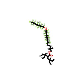 CCC(C)(CC)CC(C(=O)OCC(C)(C)CCC(F)(F)C(F)(F)C(F)(F)C(F)(F)C(F)(F)C(F)(F)OC(F)(F)C(F)(F)C(F)(F)C(F)(F)C(F)(F)C(F)(F)F)C(C)(CC)CC